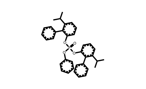 CC(C)c1cccc(OP(=O)(Oc2ccccc2)Oc2cccc(C(C)C)c2-c2ccccc2)c1-c1ccccc1